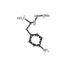 COBNC(Cc1ccc(N)cc1)C(=O)O